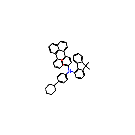 CC1(C)c2ccccc2-c2c(N(c3ccc(-c4cccc5cccc(-c6ccccc6)c45)cc3)c3ccc(C4CCCCC4)cc3)cccc21